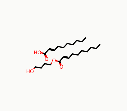 CCCCCCC/C=C/C(=O)O.CCCCCCC/C=C/C(=O)OCCCCO